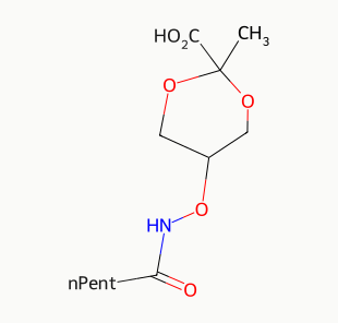 CCCCCC(=O)NOC1COC(C)(C(=O)O)OC1